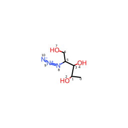 CC(O)C(O)C(CO)N=[N+]=[N-]